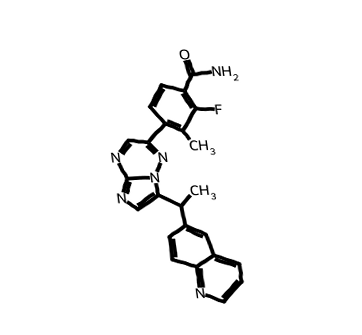 Cc1c(-c2cnc3ncc(C(C)c4ccc5ncccc5c4)n3n2)ccc(C(N)=O)c1F